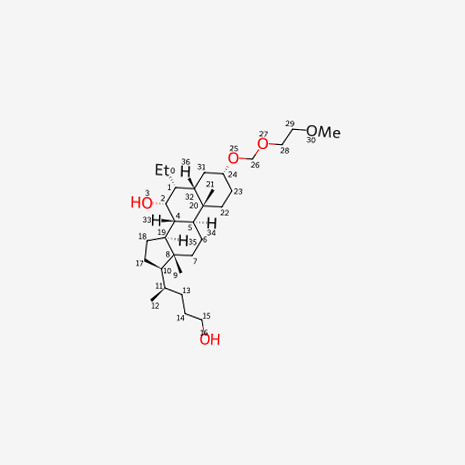 CC[C@H]1[C@@H](O)[C@@H]2[C@H](CC[C@]3(C)[C@@H]([C@H](C)CCCO)CC[C@@H]23)[C@@]2(C)CC[C@@H](OCOCCOC)C[C@@H]12